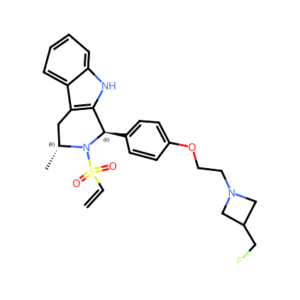 C=CS(=O)(=O)N1[C@H](c2ccc(OCCN3CC(CF)C3)cc2)c2[nH]c3ccccc3c2C[C@H]1C